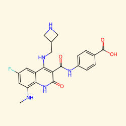 CNc1cc(F)cc2c(NCC3CNC3)c(C(=O)Nc3ccc(C(=O)O)cc3)c(=O)[nH]c12